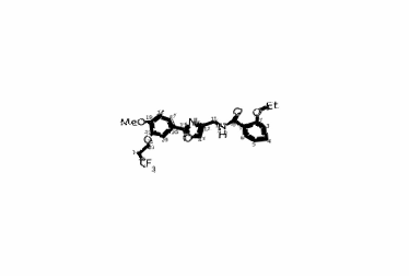 CCOc1ccccc1C(=O)NCc1coc(-c2ccc(OC)c(OCCC(F)(F)F)c2)n1